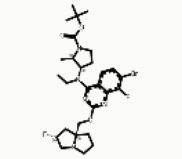 CCN(c1nc(OC[C@@]23CCCN2C[C@H](F)C3)nc2c(F)c(Br)ccc12)[C@@H]1CCN(C(=O)OC(C)(C)C)[C@@H]1C